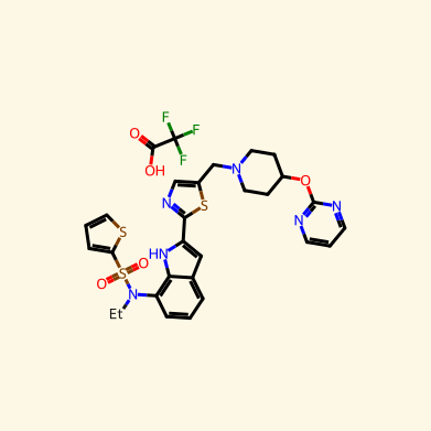 CCN(c1cccc2cc(-c3ncc(CN4CCC(Oc5ncccn5)CC4)s3)[nH]c12)S(=O)(=O)c1cccs1.O=C(O)C(F)(F)F